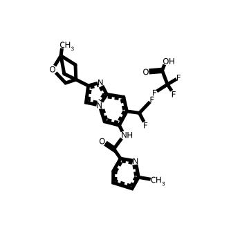 Cc1cccc(C(=O)Nc2cn3cc(C45COC(C)(C4)C5)nc3cc2C(F)F)n1.O=C(O)C(F)(F)F